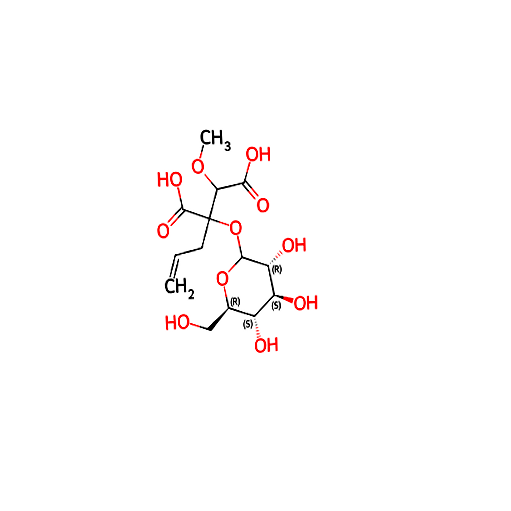 C=CCC(OC1O[C@H](CO)[C@@H](O)[C@H](O)[C@H]1O)(C(=O)O)C(OC)C(=O)O